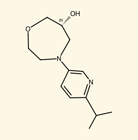 CC(C)c1ccc(N2CCOC[C@H](O)C2)cn1